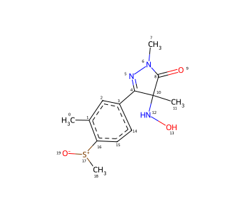 Cc1cc(C2=NN(C)C(=O)C2(C)NO)ccc1[S+](C)[O-]